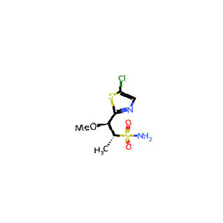 CO[C@@H](c1ncc(Cl)s1)[C@@H](C)S(N)(=O)=O